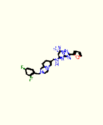 Nc1cc(NCC2CCC3CN(Cc4ccc(F)cc4F)CCN3C2)nc2nc(-c3ccco3)nn12